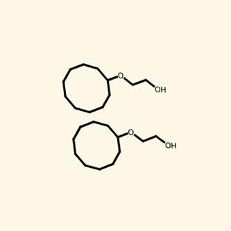 OCCOC1CCCCCCCCC1.OCCOC1CCCCCCCCC1